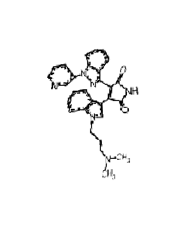 CN(C)CCCn1cc(C2=C(c3nn(-c4cccnc4)c4ccccc34)C(=O)NC2=O)c2ccccc21